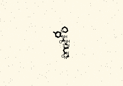 Cc1ccc(NC(=O)Nc2ncc(Cc3ncno3)s2)c(N2CCCCC2)c1